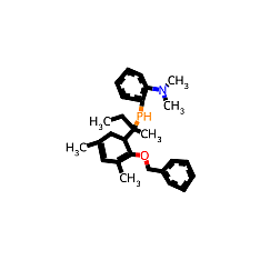 CCC(C)(Pc1ccccc1N(C)C)C1CC(C)=CC(C)=C1OCc1ccccc1